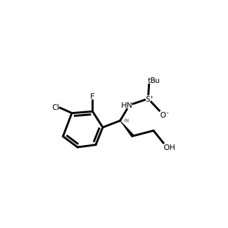 CC(C)(C)[S+]([O-])N[C@@H](CCO)c1cccc(Cl)c1F